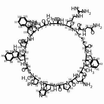 CCCC[C@H]1C(=O)N(C)[C@@H](CCCC)C(=O)N[C@@H](CCCNC(=N)N)C(=O)N[C@H](C(=O)NCC(N)=O)CSCC(=O)N[C@@H](Cc2ccccc2)C(=O)N(C)[C@@H](C)C(=O)N[C@@H](CC(N)=O)C(=O)N2CCCC2C(=O)N[C@@H](Cc2cnc[nH]2)C(=O)N[C@@H](CC(C)C)C(=O)N(C)CC(=O)N[C@@H](Cc2c[nH]c3ccccc23)C(=O)N[C@@H](CO)C(=O)N[C@@H](Cc2c[nH]c3ccccc23)C(=O)N1C